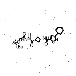 C[C@@H](O[Si](C)(C)C(C)(C)C)C(=O)NNC(=O)[C@H]1C[C@H](NC(=O)c2cc(-c3ccccc3)no2)C1